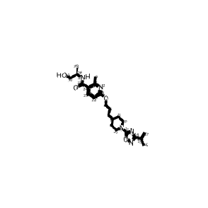 Cc1nc(OCCCC2CCN(c3nc(C(C)C)no3)CC2)ccc1C(=O)N[C@H](C)CO